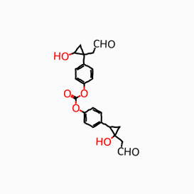 O=CCC1(O)CC1c1ccc(OC(=O)Oc2ccc(C3(CC=O)CC3O)cc2)cc1